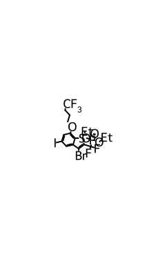 CCOP(=O)(OCC)C(F)(F)c1sc2c(OCCCC(F)(F)F)cc(I)cc2c1Br